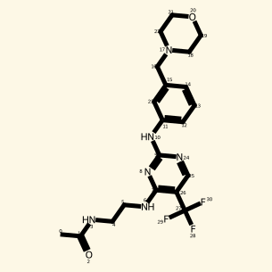 CC(=O)NCCNc1nc(Nc2cccc(CN3CCOCC3)c2)ncc1C(F)(F)F